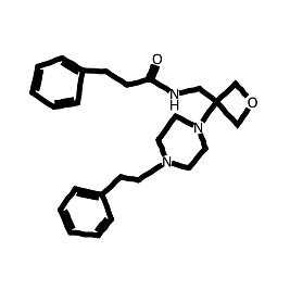 O=C(CCc1ccccc1)NCC1(N2CCN(CCc3ccccc3)CC2)COC1